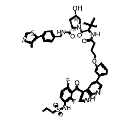 CCCS(=O)(=O)Nc1ccc(F)c(C(=O)c2c[nH]c3ncc(-c4cccc(OCCCC(=O)NC(C(=O)N5C[C@H](O)C[C@H]5C(=O)NCc5ccc(-c6scnc6C)cc5)C(C)(C)C)c4)cc23)c1F